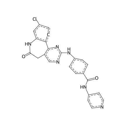 O=C1Cc2cnc(Nc3ccc(C(=O)Nc4ccncc4)cc3)nc2-c2ccc(Cl)cc2N1